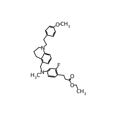 CCOC(=O)CCc1ccc(N(C)Cc2cccc3c2CCCN3CCc2ccc(OC)cc2)cc1F